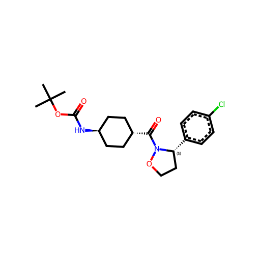 CC(C)(C)OC(=O)N[C@H]1CC[C@H](C(=O)N2OCC[C@H]2c2ccc(Cl)cc2)CC1